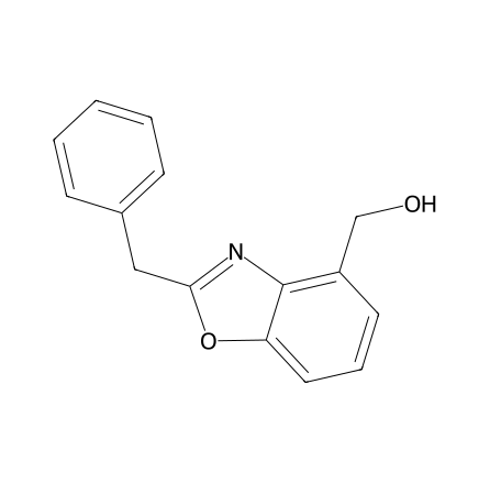 OCc1cccc2oc(Cc3ccccc3)nc12